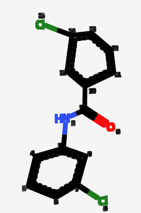 O=C(Nc1cccc(Cl)c1)c1cccc(Cl)c1